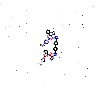 CN1CCN(C(=O)N[C@@H](C(=O)N2CCC[C@H]2c2ncc(-c3ccc(-c4ccc(-c5cnc([C@@H]6CCCN6C(=O)[C@H](NC(=O)N6CCN(C)CC6)c6ccccc6)[nH]5)cc4)cc3)[nH]2)c2ccccc2)CC1